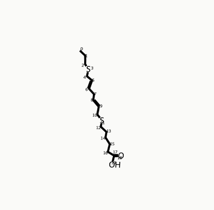 CCCSC/C=C/C/C=C/CSCCCCCC(=O)O